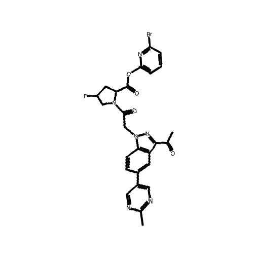 CC(=O)c1nn(CC(=O)N2CC(F)CC2C(=O)Oc2cccc(Br)n2)c2ccc(-c3cnc(C)nc3)cc12